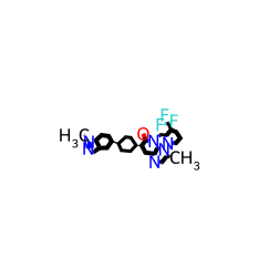 Cc1cnc2cc([C@H]3CC[C@H](c4ccc5c(cnn5C)c4)CC3)c(=O)n(Cc3ncccc3C(F)(F)F)c2n1